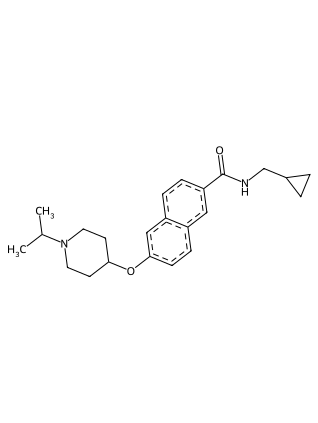 CC(C)N1CCC(Oc2ccc3cc(C(=O)NCC4CC4)ccc3c2)CC1